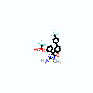 CN1C(=O)C(c2ccccc2)(c2cccc(-c3ccc(C(F)(F)F)cc3)c2)N=C1N.O=C(O)C(F)(F)F